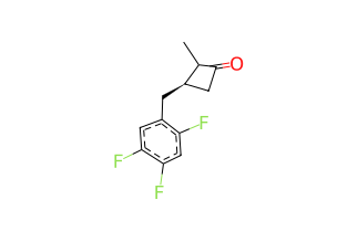 CC1C(=O)C[C@H]1Cc1cc(F)c(F)cc1F